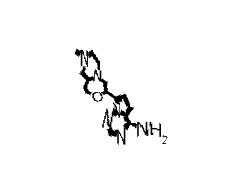 CN1CCN2CC(c3ccc4c(N)ncnn34)OCC2C1